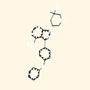 Nc1ncnc2c1c(-c1ccc(Oc3ccccc3)cc1)nn2[C@H]1CNCC(F)(F)C1